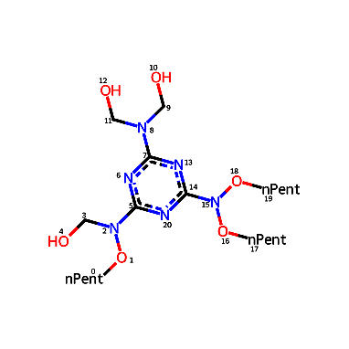 CCCCCON(CO)c1nc(N(CO)CO)nc(N(OCCCCC)OCCCCC)n1